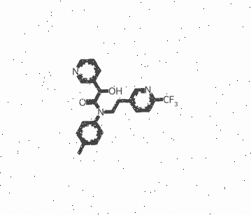 Cc1ccc(N(CCc2ccc(C(F)(F)F)nc2)C(=O)C(O)c2cccnc2)cc1